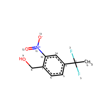 CC(F)(F)c1ccc(CO)c([N+](=O)[O-])c1